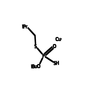 CC(C)COP(=O)(S)SCC(C)C.[Cu]